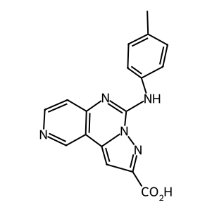 Cc1ccc(Nc2nc3ccncc3c3cc(C(=O)O)nn23)cc1